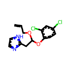 C=CCOC(Cc1ncc[nH]1)Oc1ccc(Cl)cc1Cl